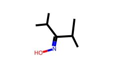 CC(C)C(=NO)C(C)C